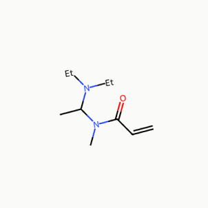 C=CC(=O)N(C)C(C)N(CC)CC